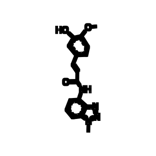 COc1ccc(/C=C/C(=O)Nc2cccc3c2nnn3C)cc1O